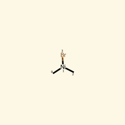 [CH3][Ni]([CH3])[Br]